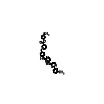 Cc1cccc(-c2nccc(Nc3ccnc(Nc4ccc(CN5CCC[C@H](C(=O)O[C@@H]6CCN(C)C6)C5)cc4)n3)n2)n1